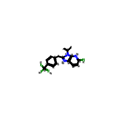 CC(C)n1c(Cc2ccc(C(F)(F)F)cc2)nc2ccc(Cl)nc21